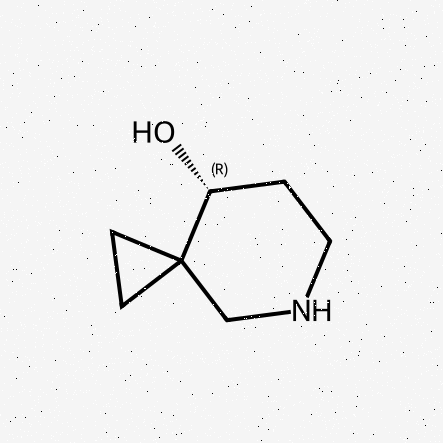 O[C@@H]1CCNCC12CC2